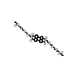 C=CC(=O)OCCOCCOCCOCCN1C(=O)c2ccc3c4ccc5c6c(ccc(c7ccc(c2c37)C1=O)c64)C(=O)N(CCOCCOCCOCCOC(=O)C=C)C5=O